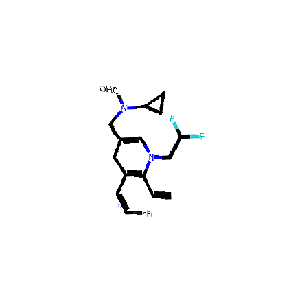 C=CC1=C(/C=C\CCC)CC(CN(C=O)C2CC2)=CN1CC(F)F